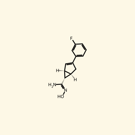 N/C(=N\O)[C@@H]1[C@H]2C=C(c3cccc(F)c3)C[C@H]21